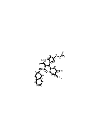 CC1=C(C(=O)Nc2ccc3cnccc3c2)C(c2ccc(C(F)(F)F)c(F)c2)n2nc(CCN(C)C)cc2N1